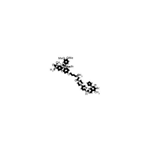 CCCOc1cc(OCCCCN(C)CC(=O)N2CCN(c3ccc(Nc4ncc5c(C)c(C(C)=O)c(=O)n(C6CCCC6)c5n4)nc3)CC2)cc(Oc2cc3c(cc2NS(=O)(=O)c2ccc(OC)c(OC)c2)n(C)c(=O)n3C)c1